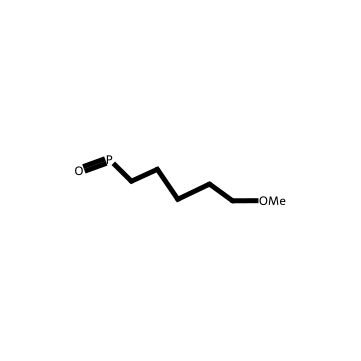 COCCCCCP=O